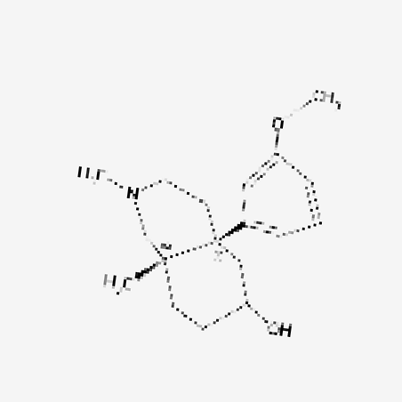 COc1cccc([C@]23CCN(C)C[C@@]2(C)CCC(O)C3)c1